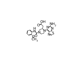 COc1ccccc1NC(=O)N1CCN(c2nc(N)nc3scnc23)C(CC(=O)O)C1